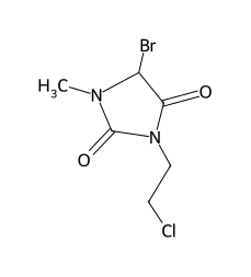 CN1C(=O)N(CCCl)C(=O)C1Br